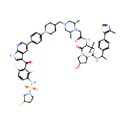 Cc1ncsc1-c1ccc(C(C)NC(=O)[C@@H]2C[C@@H](O)CN2C(=O)C(NC(=O)CN2[C@H](C)CN(CC3CCN(c4ccc(-c5cnc6[nH]cc(C(=O)c7c(F)ccc(NS(=O)(=O)N8CC[C@@H](F)C8)c7F)c6c5)cc4)CC3)C[C@@H]2C)C(C)(C)C)cc1